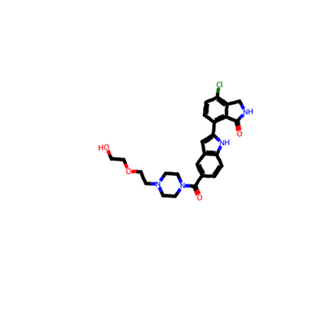 O=C1NCc2c(Cl)ccc(-c3cc4cc(C(=O)N5CCN(CCOCCO)CC5)ccc4[nH]3)c21